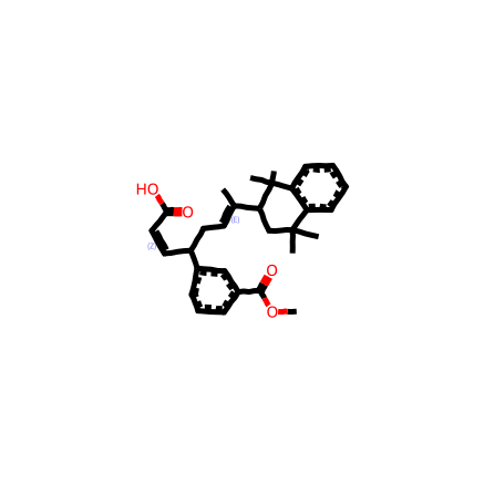 COC(=O)c1cccc(C(/C=C\C(=O)O)C/C=C(\C)C2CC(C)(C)c3ccccc3C2(C)C)c1